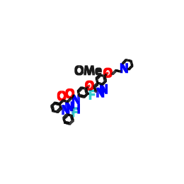 COc1cc2c(Oc3ccc(NC(=O)c4nn(-c5ccccc5F)c5ccccc5c4=O)cc3F)cnnc2cc1OCCCN1CCCCC1